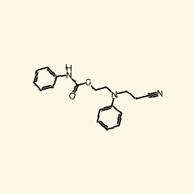 N#CCCN(CCOC(=O)Nc1ccccc1)c1ccccc1